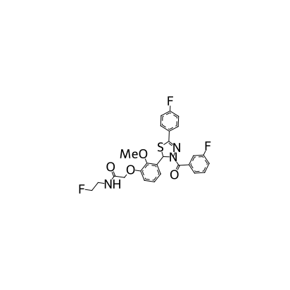 COc1c(OCC(=O)NCCF)cccc1C1SC(c2ccc(F)cc2)=NN1C(=O)c1cccc(F)c1